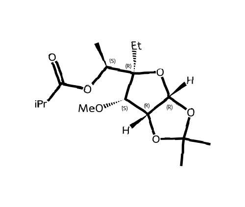 CC[C@]1([C@H](C)OC(=O)C(C)C)O[C@@H]2OC(C)(C)O[C@@H]2[C@@H]1OC